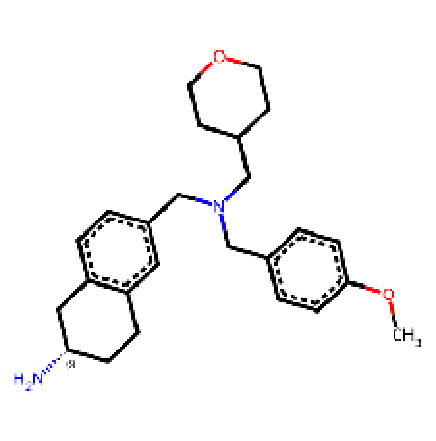 COc1ccc(CN(Cc2ccc3c(c2)CC[C@H](N)C3)CC2CCOCC2)cc1